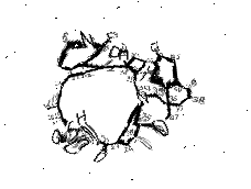 CO[C@@]1(c2cccnc2F)/C=C/C[C@H](C)[C@@H](C)S(=O)(=O)NC(=O)c2ccc3c(c2)N(C[C@@H]2CC[C@H]21)C[C@@]1(CCCc2cc(Cl)ccc21)CO3